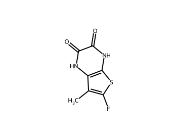 Cc1c(F)sc2[nH]c(=O)c(=O)[nH]c12